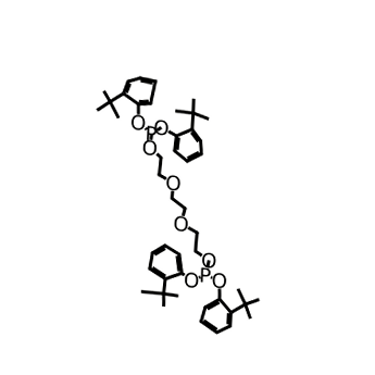 CC(C)(C)c1ccccc1OP(OCCOCCOCCOP(Oc1ccccc1C(C)(C)C)Oc1ccccc1C(C)(C)C)Oc1ccccc1C(C)(C)C